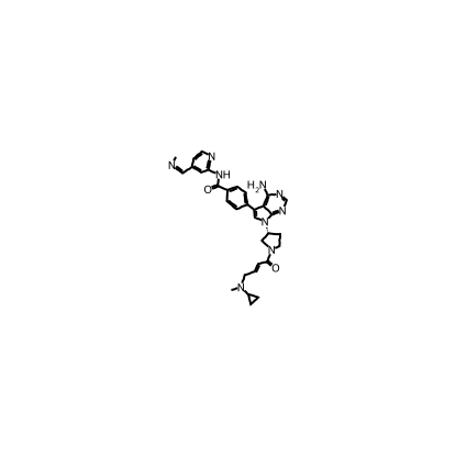 C/N=C\c1ccnc(NC(=O)c2ccc(-c3cn([C@@H]4CCN(C(=O)/C=C/CN(C)C5CC5)C4)c4ncnc(N)c34)cc2)c1